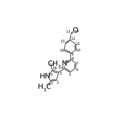 Cc1cc(-c2cccc(-c3ccc(C=O)cc3)n2)c(C)[nH]1